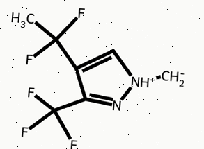 [CH2-][NH+]1C=C(C(C)(F)F)C(C(F)(F)F)=N1